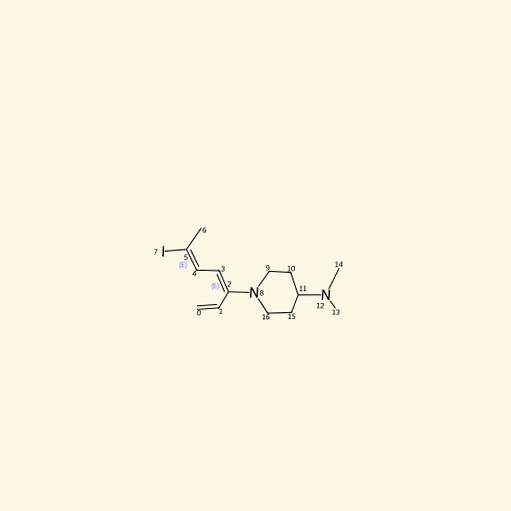 C=C/C(=C\C=C(/C)I)N1CCC(N(C)C)CC1